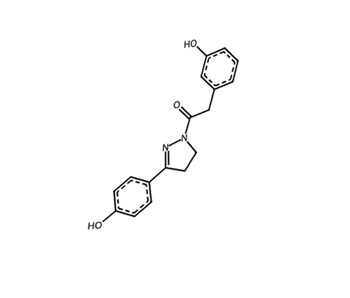 O=C(Cc1cccc(O)c1)N1CCC(c2ccc(O)cc2)=N1